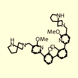 COc1nc(-c2cccc(-c3cccc(-c4ccc(CN5CC6(CCCN6)C5)c(OC)n4)c3Cl)c2Cl)ccc1CN1CC2(CCCN2)C1